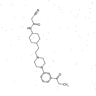 CCC(=O)c1cccc(N2CCN(CCC3CCC(NC(=O)CC#N)CC3)CC2)c1